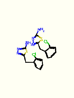 Nc1nnc(Cc2ccccc2Cl)s1.Nc1nnc(Cc2ccccc2Cl)s1